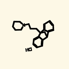 Cl.c1ccc2c(c1)C1CC2(CCCN2CCCCC2)c2ccccc21